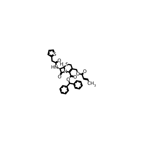 C/C=C/C(=O)OCC1=C(C(=O)OC(c2ccccc2)c2ccccc2)N2C(=O)[C@@H](NC(=O)Cc3cccs3)[C@H]2SC1